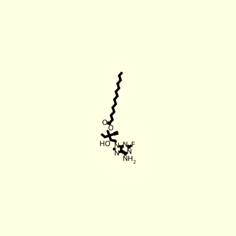 C#CC(CC)(COC(=O)CCCCCCCCCCCCC)[C@@H](O)Cn1cnc2c(N)nc(F)nc21